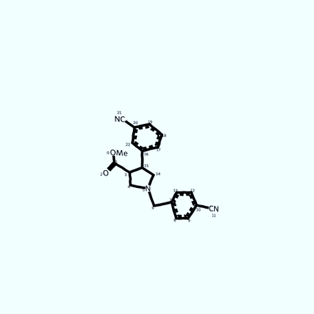 COC(=O)C1CN(Cc2ccc(C#N)cc2)CC1c1cccc(C#N)c1